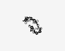 CCOc1cc(OC)ccc1CNCC(=O)N1CCCC(c2cccc(C(=O)NCCOCCNC(=O)c3ccc(N4CCN(Cc5cnc6cc(CC)c(=O)[nH]c6c5)CC4)cn3)c2)C1